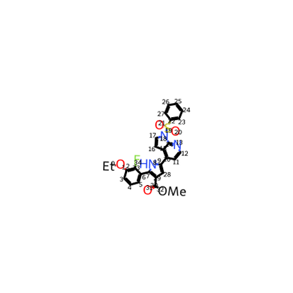 CCOc1cccc(-c2[nH]c(-c3ccnc4c3ccn4S(=O)(=O)c3ccccc3)cc2C(=O)OC)c1F